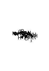 CCNC(=O)Nc1cc(-c2nc(C(F)(F)F)cs2)c(-c2ccc3c(=O)c(C(=O)NCCN4CCN(C)CC4)cn(CC4CC4)c3c2)cn1